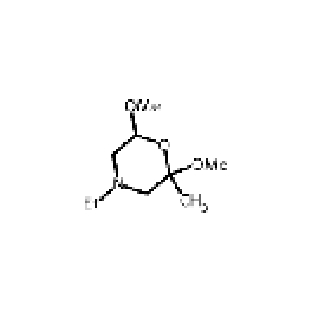 [CH2]CN1CC(OC)OC(C)(OC)C1